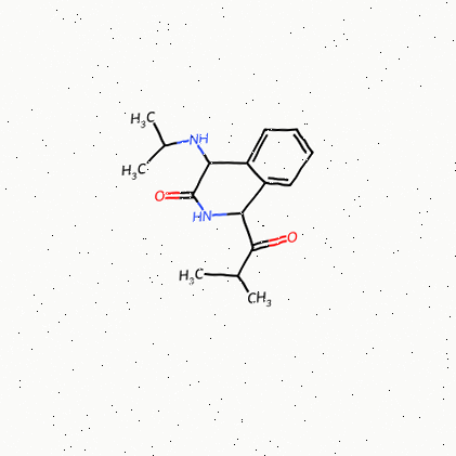 CC(C)NC1C(=O)NC(C(=O)C(C)C)c2ccccc21